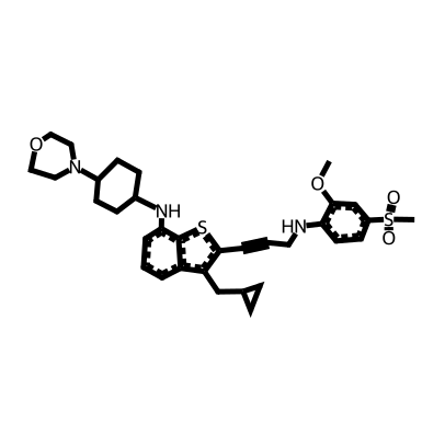 COc1cc(S(C)(=O)=O)ccc1NCC#Cc1sc2c(NC3CCC(N4CCOCC4)CC3)cccc2c1CC1CC1